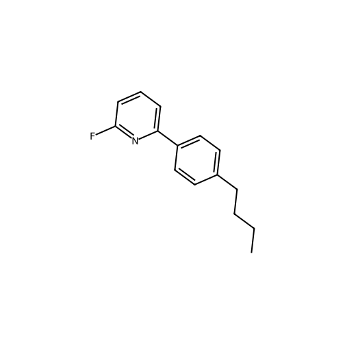 CCCCc1ccc(-c2cccc(F)n2)cc1